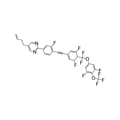 C=CCCc1cnc(-c2ccc(C#CC3=CC(F)C(C(F)(F)Oc4cc(F)c(OC(F)(F)F)c(F)c4)C(F)=C3)c(F)c2)nc1